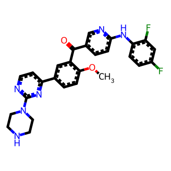 COc1ccc(-c2ccnc(N3CCNCC3)n2)cc1C(=O)c1ccc(Nc2ccc(F)cc2F)nc1